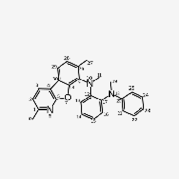 Cc1ccc2c(n1)oc1c(N(C)c3ccccc3N(C)c3ccccc3)c(C)ccc12